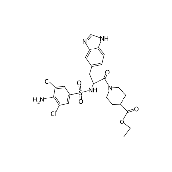 CCOC(=O)C1CCN(C(=O)C(Cc2ccc3[nH]cnc3c2)NS(=O)(=O)c2cc(Cl)c(N)c(Cl)c2)CC1